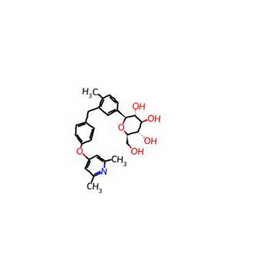 Cc1cc(Oc2ccc(Cc3cc([C@@H]4O[C@H](CO)[C@@H](O)[C@H](O)[C@H]4O)ccc3C)cc2)cc(C)n1